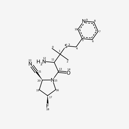 CC(C)(SCc1cccnc1)C(N)C(=O)N1C[C@@H](F)C[C@H]1C#N